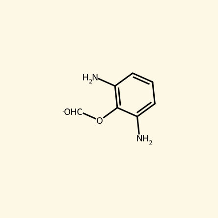 Nc1cccc(N)c1O[C]=O